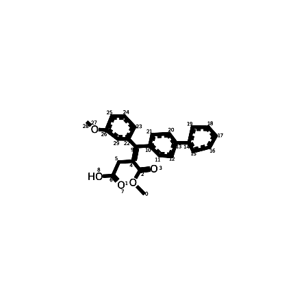 COC(=O)C(CC(=O)O)=C(c1ccc(-c2ccccc2)cc1)c1cccc(OC)c1